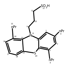 CCCc1cc(CCC)c2c(c1)N(CCCS(=O)(=O)O)c1c(CCC)cccc1S2